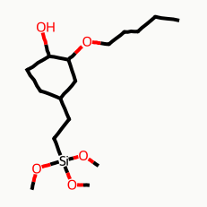 CCCCCOC1CC(CC[Si](OC)(OC)OC)CCC1O